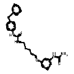 NC(=S)Nc1cccc(OCCCCCNC(=S)Nc2ccc(Cc3ccccc3)cc2)c1